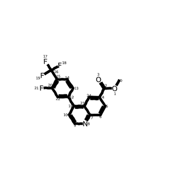 COC(=O)c1ccc2nccc(-c3ccc(C(F)(F)F)c(F)c3)c2c1